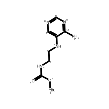 CC(C)(C)OC(=O)NCCNc1cncnc1N